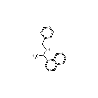 CC(NCc1ccccn1)c1cccc2ccccc12